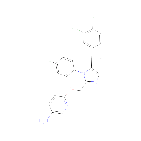 CC(C)(c1ccc(Cl)c(Cl)c1)c1cnc(COc2ccc(N)cn2)n1-c1ccc(F)cc1